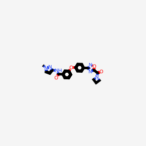 Cn1ccc(NC(=O)c2cccc(Oc3ccc(-c4noc(C(=O)N5CCC5)n4)cc3)c2)n1